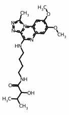 COc1cc2nc(NCCCCNC(=O)C(O)C(C)C)c3nnc(C)n3c2cc1OC